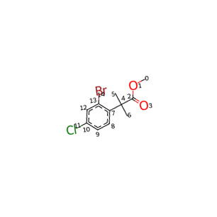 COC(=O)C(C)(C)c1ccc(Cl)cc1Br